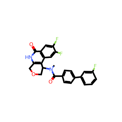 CN(C(=O)c1ccc(-c2cccc(F)c2)cc1)C1COCc2[nH]c(=O)c3cc(F)c(F)cc3c21